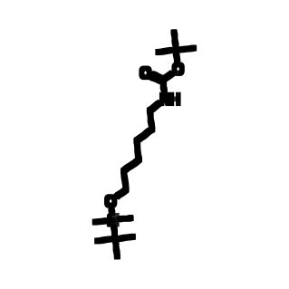 CC(C)(C)OC(=O)NCCCCCCO[Si](C)(C)C(C)(C)C